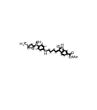 COC(=O)c1ccc2c(c1)NC(=O)C2=CCCCNc1ccc(N(C)C(=O)CN(C)C)cc1